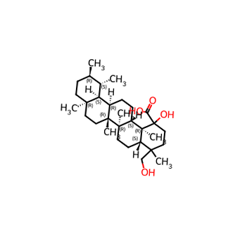 C[C@@H]1[C@H]2[C@H]3CC[C@@H]4[C@]5(C)[C@@H](CC[C@@]4(C)[C@]3(C)CC[C@@]2(C)CC[C@H]1C)C(C)(CO)CCC5(O)C(=O)O